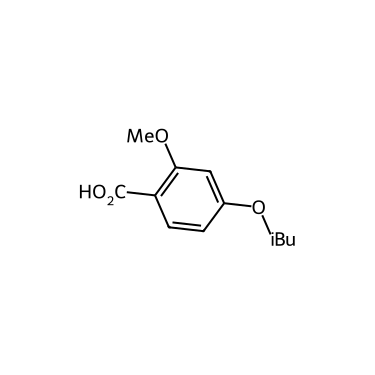 CCC(C)Oc1ccc(C(=O)O)c(OC)c1